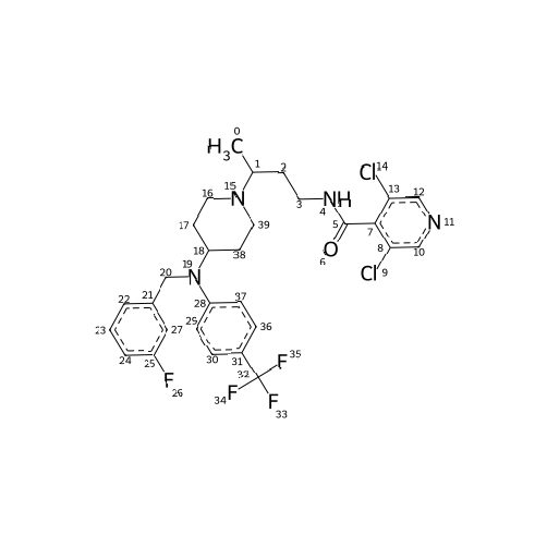 CC(CCNC(=O)c1c(Cl)cncc1Cl)N1CCC(N(Cc2cccc(F)c2)c2ccc(C(F)(F)F)cc2)CC1